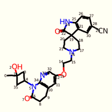 CC1(O)CC(N2C(=O)CCc3cc(OCCN4CCC5(CC4)C(=O)Nc4ccc(C#N)cc45)cnc32)C1